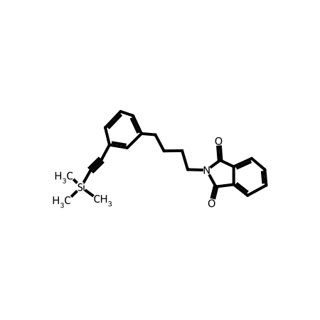 C[Si](C)(C)C#Cc1cccc(CCCCN2C(=O)c3ccccc3C2=O)c1